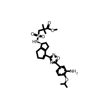 COC(=O)C(C)(C)CS(=O)(=O)N[C@H]1CCC2=C1CCC=C2c1noc(-c2ccc(OC(C)C)c(N)c2)n1